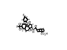 O=C(O)C12C3C4C1C1C2C3C41C(=O)N[C@@H]1CC[C@@]2(S(=O)(=O)c3ccc(F)cc3)c3ccc(C(F)(C(F)(F)F)C(F)(F)F)cc3CC[C@@H]12